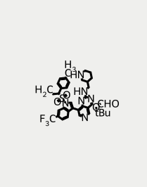 C=CC(c1ccc(C)cc1)S(=O)(=O)n1cc(-c2cncc3cnc(NCC4CCCNC4)nc23)c2ccc(C(F)(F)F)cc21.CC(C)(C)OC=O